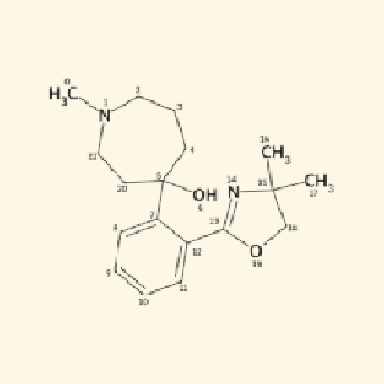 CN1CCCC(O)(c2ccccc2C2=NC(C)(C)CO2)CC1